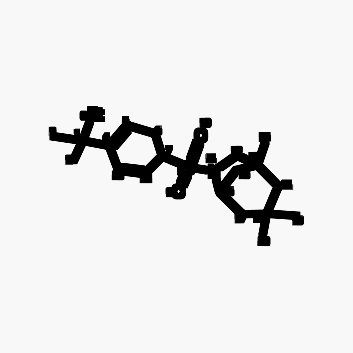 CCC(C)(C)C1=CCC(S(=O)(=O)N2CC3(C)CC2CC(C)(C)C3)C=C1